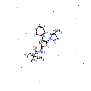 Cc1cn(-c2sc(NC(=O)C(C)(C)C)nc2-c2ccccc2)cn1